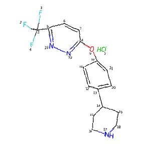 Cl.FC(F)(F)c1ccc(Oc2ccc(C3CCNCC3)cc2)nn1